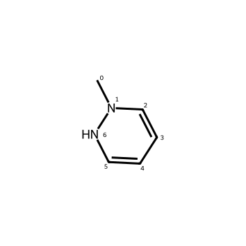 CN1C=CC=CN1